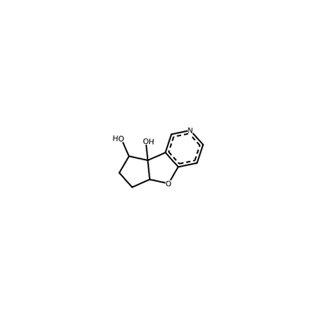 OC1CCC2Oc3ccncc3C12O